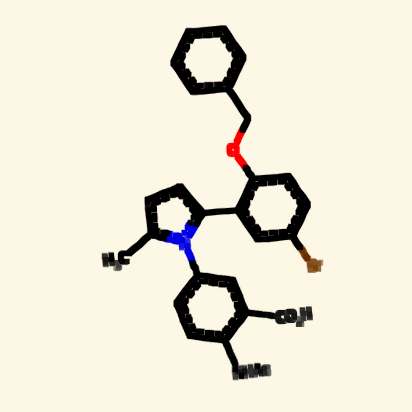 CC(=O)Nc1ccc(-n2c(C)ccc2-c2cc(Br)ccc2OCc2ccccc2)cc1C(=O)O